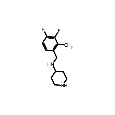 Cc1c(CNC2CCNCC2)ccc(F)c1F